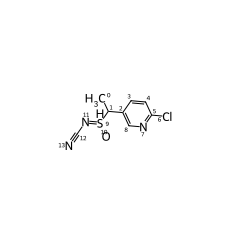 CC(c1ccc(Cl)nc1)/[SH](=O)=N/C#N